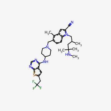 CNC(C)(C)CC(C)Cn1c(C#N)cc2c(C)c(CN3CCC(Nc4ncnc5sc(CC(F)(F)F)cc45)CC3)ccc21